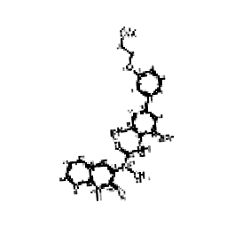 CC(=O)OCCOc1cccc(-c2cc(C(C)C)c(NC(=O)N(C)c3cc4cccnc4[nH]c3=O)c(C(C)C)c2)c1